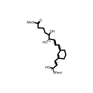 CCCCC[C@@H](O)/C=C/C1=CC(=C\C=C\[C@@H](O)C(O)CCCC(=O)OC)/CCC1